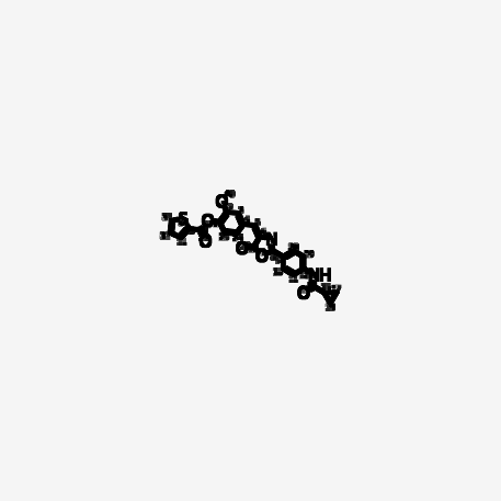 COc1cc(/C=C2/N=C(c3ccc(NC(=O)C4CC4)cc3)OC2=O)ccc1OC(=O)c1cccs1